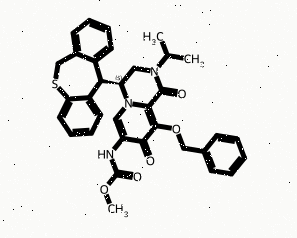 COC(=O)Nc1cn2c(c(OCc3ccccc3)c1=O)C(=O)N(C(C)C)C[C@@H]2C1c2ccccc2CSc2ccccc21